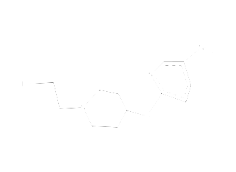 O=[N+]([O-])c1ccc(OC2CCN(CCC(F)(F)F)CC2)nc1